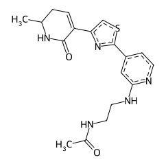 CC(=O)NCCNc1cc(-c2nc(C3=CCC(C)NC3=O)cs2)ccn1